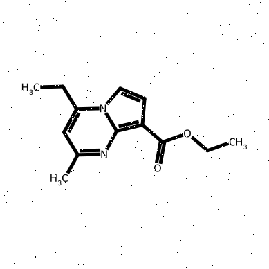 CCOC(=O)c1ccn2c(CC)cc(C)nc12